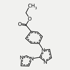 CCOC(=O)c1ccc(-n2ccnc2-n2ccnc2)cc1